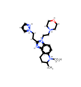 CC1CCc2c(ccc3c2nc(CCn2cccn2)n3CCN2CCOCC2)N1C(=O)O